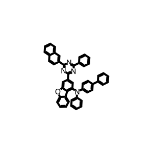 c1ccc(-c2ccc(N(c3ccccc3)c3cc(-c4nc(-c5ccccc5)nc(-c5ccc6ccccc6c5)n4)cc4oc5ccccc5c34)cc2)cc1